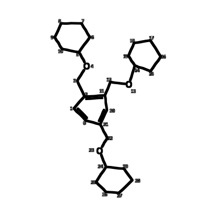 c1cc(COC2CCCCC2)c(COC2CCCCC2)cc1COC1CCCCC1